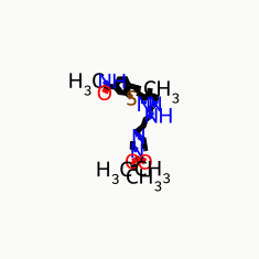 CNC(=O)c1ccc2cc(-c3nc(NCCCN4CCN(C(=O)OC(C)(C)C)CC4)ncc3C)sc2c1